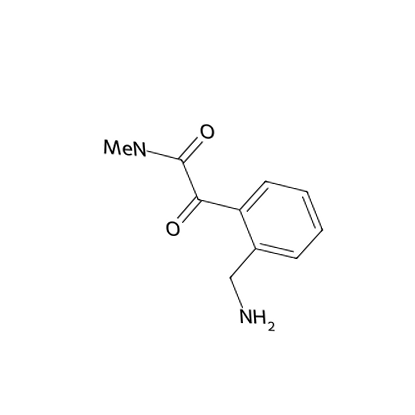 CNC(=O)C(=O)c1ccccc1CN